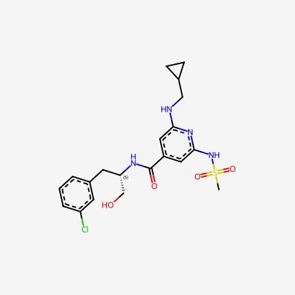 CS(=O)(=O)Nc1cc(C(=O)N[C@H](CO)Cc2cccc(Cl)c2)cc(NCC2CC2)n1